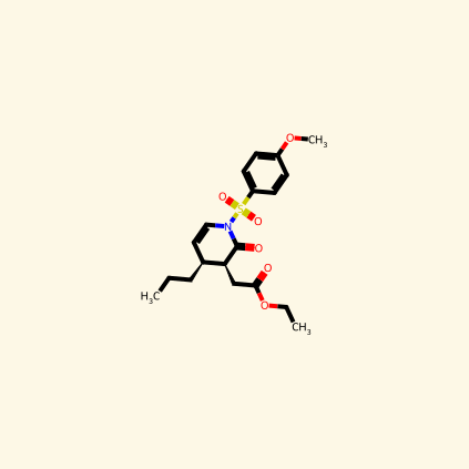 CCC[C@H]1C=CN(S(=O)(=O)c2ccc(OC)cc2)C(=O)[C@H]1CC(=O)OCC